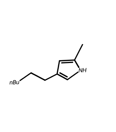 [CH2]CCCCCc1c[nH]c(C)c1